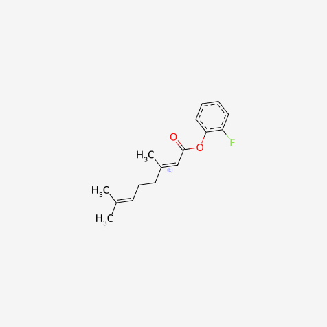 CC(C)=CCC/C(C)=C/C(=O)Oc1ccccc1F